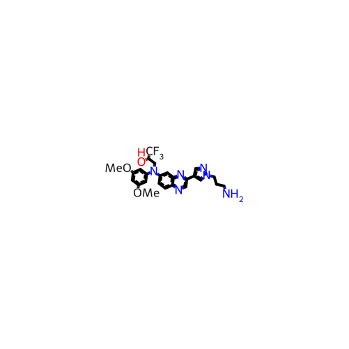 COc1cc(OC)cc(N(CC(O)C(F)(F)F)c2ccc3ncc(-c4cnn(CCCN)c4)nc3c2)c1